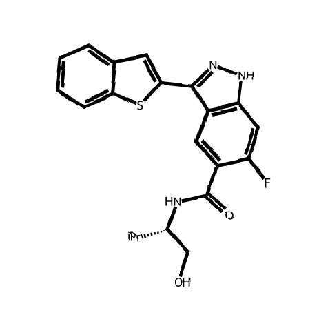 CC(C)[C@@H](CO)NC(=O)c1cc2c(-c3cc4ccccc4s3)n[nH]c2cc1F